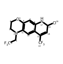 FC(F)(F)CN1CCOc2cc3c(cc21)C(C(F)(F)F)=CC(Cl)N3